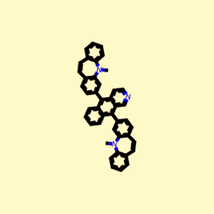 CN1c2ccccc2C=Cc2ccc(-c3c4ccccc4c(-c4ccc5c(c4)N(C)c4ccccc4C=C5)c4cnccc34)cc21